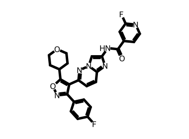 O=C(Nc1cn2nc(-c3c(-c4ccc(F)cc4)noc3C3CCOCC3)ccc2n1)c1ccnc(F)c1